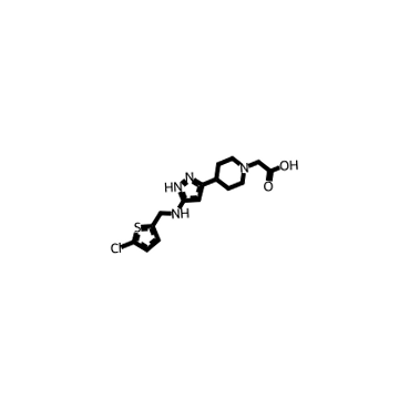 O=C(O)CN1CCC(c2cc(NCc3ccc(Cl)s3)[nH]n2)CC1